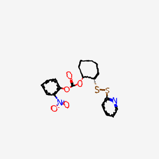 O=C(Oc1ccccc1[N+](=O)[O-])O[C@H]1CCCCC[C@@H]1SSc1ccccn1